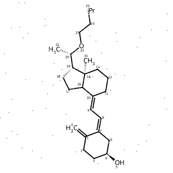 C=C1CC[C@H](O)C/C1=C/C=C1CCC[C@@]2(C)C1CC[C@@H]2[C@H](C)OCCC(C)C